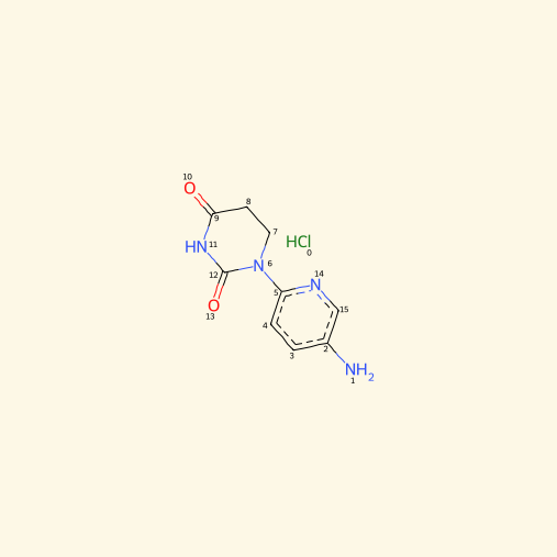 Cl.Nc1ccc(N2CCC(=O)NC2=O)nc1